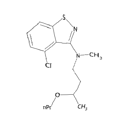 CCCOC(C)CCN(C)c1nsc2cccc(Cl)c12